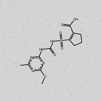 COc1nc(C)nc(NC(=O)NS(=O)(=O)C2=C(C(=O)O)CCC2)n1